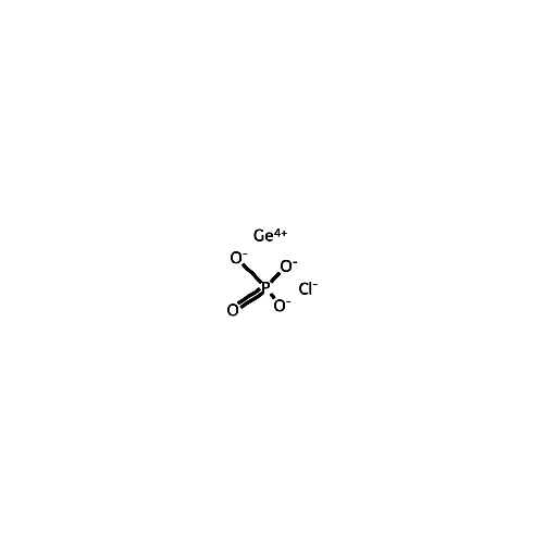 O=P([O-])([O-])[O-].[Cl-].[Ge+4]